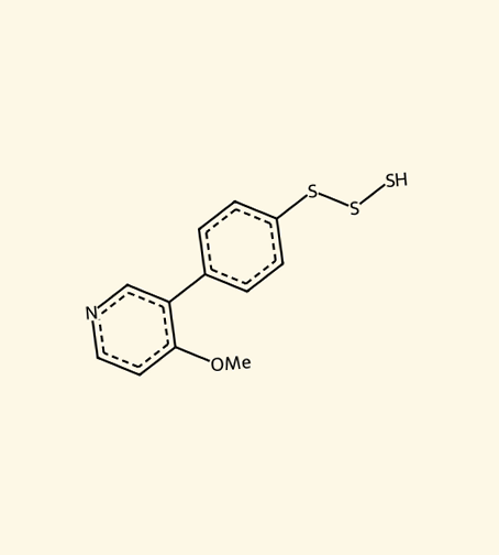 COc1ccncc1-c1ccc(SSS)cc1